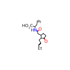 CC/C=C/CC1C(=O)CCC1CC(=O)NC(CC(C)C)C(=O)O